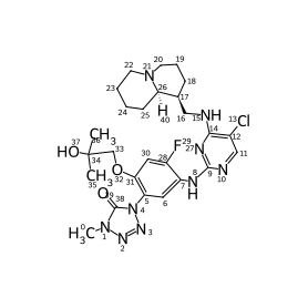 Cn1nnn(-c2cc(Nc3ncc(Cl)c(NC[C@@H]4CCCN5CCCC[C@H]45)n3)c(F)cc2OCC(C)(C)O)c1=O